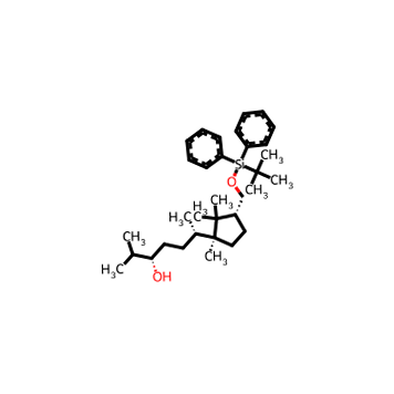 CC(C)[C@@H](O)CC[C@H](C)[C@]1(C)CC[C@@H](CO[Si](c2ccccc2)(c2ccccc2)C(C)(C)C)C1(C)C